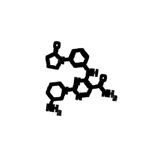 NC(=O)c1cnc(N2CCC[C@H](N)C2)nc1Nc1cccc(N2CCCC2=O)c1